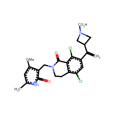 C=C(c1cc(Cl)c2c(c1Cl)C(=O)N(Cc1c(OC)cc(C)[nH]c1=O)CC2)C1CN(C(=O)O)C1